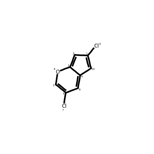 Clc1[c]c2occ(Cl)cc-2c1